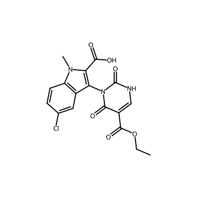 CCOC(=O)c1c[nH]c(=O)n(-c2c(C(=O)O)n(C)c3ccc(Cl)cc23)c1=O